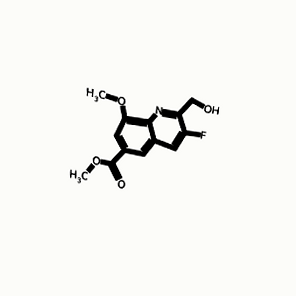 COC(=O)c1cc(OC)c2nc(CO)c(F)cc2c1